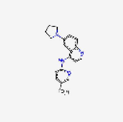 O=C(O)c1ccc(Nc2ccnc3ccc(N4CCCC4)cc23)nc1